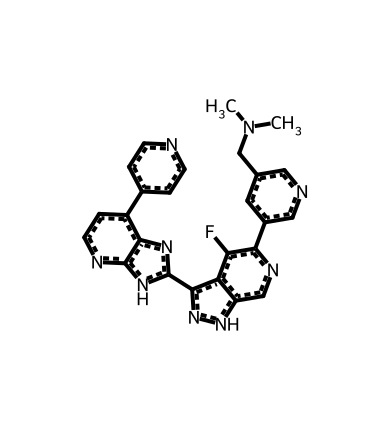 CN(C)Cc1cncc(-c2ncc3[nH]nc(-c4nc5c(-c6ccncc6)ccnc5[nH]4)c3c2F)c1